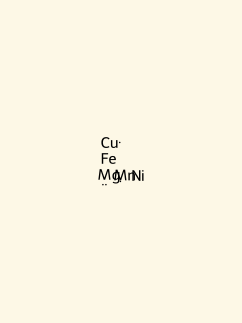 [Cu].[Fe].[Mg].[Mn].[Ni]